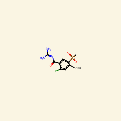 CCCCCCc1cc(F)c(C(=O)N=C(N)N)cc1S(C)(=O)=O